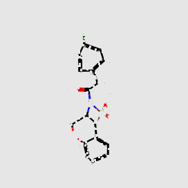 C[C@H](C(=O)N1C2COc3ccccc3C2S1(=O)=O)c1ccc(Cl)cc1